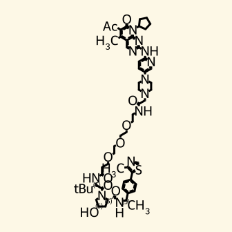 CC(=O)c1c(C)c2cnc(Nc3ccc(N4CCN(CC(=O)NCCOCCOCCOCCC(=O)N[C@H](C(=O)N5C[C@@H](O)C[C@H]5C(=O)N[C@@H](C)c5ccc(-c6scnc6C)cc5)C(C)(C)C)CC4)cn3)nc2n(C2CCCC2)c1=O